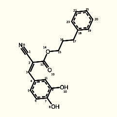 N#CC(=Cc1ccc(O)c(O)c1)C(=O)OCCCc1ccccc1